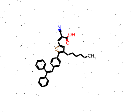 CCCCCCc1cc(/C=C(/C#N)C(=O)O)sc1-c1ccc(C=C(c2ccccc2)c2ccccc2)cc1